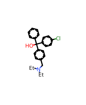 CCN(CC)Cc1ccc(C(O)(c2ccccc2)c2ccc(Cl)cc2)cc1